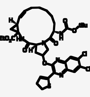 CCOC(=O)[C@@]12C[C@H]1/C=C\CCCCC[C@H](NC(=O)OC(C)(C)C)C(=O)N1CC(Oc3nc4cc(Cl)c(Cl)cc4nc3C3=CCCS3)C[C@H]1C(=O)N2